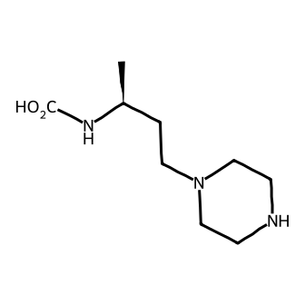 C[C@@H](CCN1CCNCC1)NC(=O)O